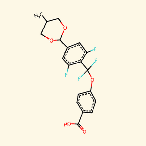 CC1COC(c2cc(F)c(C(F)(F)Oc3ccc(C(=O)O)cc3)c(F)c2)OC1